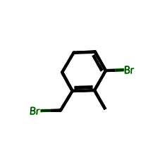 CC1=C(CBr)CCC=C1Br